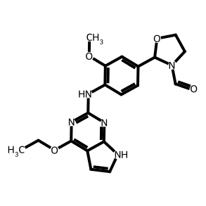 CCOc1nc(Nc2ccc(C3OCCN3C=O)cc2OC)nc2[nH]ccc12